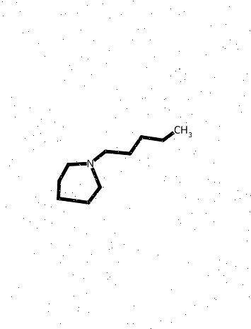 CCCCCN1[CH]CCCC1